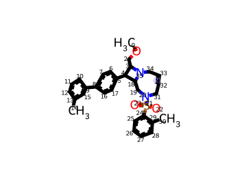 COCC1C(c2ccc(-c3cccc(C)c3)cc2)C2CN(S(=O)(=O)c3ccccc3C)C/C=C\CN12